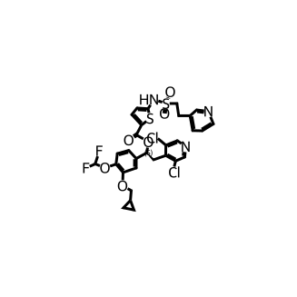 O=C(O[C@@H](Cc1c(Cl)cncc1Cl)c1ccc(OC(F)F)c(OCC2CC2)c1)c1ccc(NS(=O)(=O)CCc2cccnc2)s1